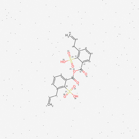 C=CCc1cccc(C(=O)OC(=O)c2cccc(CC=C)c2S(=O)(=O)O)c1S(=O)(=O)O